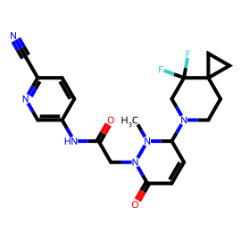 CN1C(N2CCC3(CC3)C(F)(F)C2)C=CC(=O)N1CC(=O)Nc1ccc(C#N)nc1